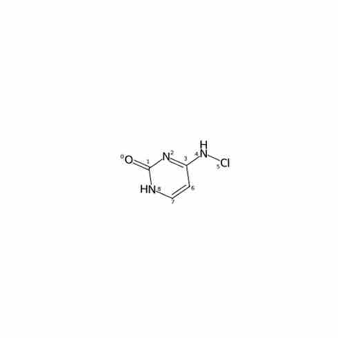 O=c1nc(NCl)cc[nH]1